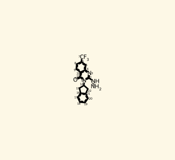 NNc1nc2cc(C(F)(F)F)ccc2c(=O)n1C1Cc2ccccc2C1